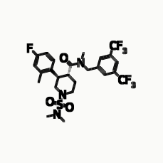 Cc1cc(F)ccc1[C@@H]1CN(S(=O)(=O)N(C)C)CC[C@H]1C(=O)N(C)Cc1cc(C(F)(F)F)cc(C(F)(F)F)c1